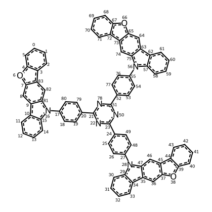 c1ccc2c(c1)oc1cc3c4ccccc4n(-c4ccc(-c5nc(-c6ccc(-n7c8ccccc8c8cc9oc%10ccccc%10c9cc87)cc6)nc(-c6ccc(-n7c8ccccc8c8cc9oc%10ccccc%10c9cc87)cc6)n5)cc4)c3cc12